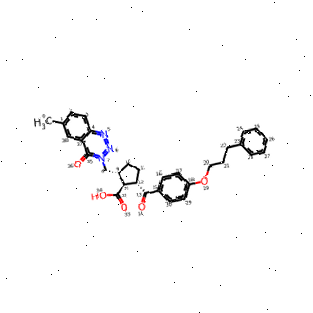 Cc1ccc2nnn(C[C@@H]3CC[C@H](C(=O)c4ccc(OCCCc5ccccc5)cc4)[C@H]3C(=O)O)c(=O)c2c1